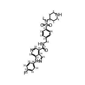 CN(C1CCNCC1)S(=O)(=O)c1ccc(CNC(=O)c2cncc3c2cnn3-c2ccc(F)cc2)cc1